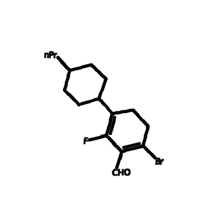 CCCC1CCC(C2=C(F)C(C=O)=C(Br)CC2)CC1